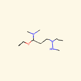 CCOC(CCN(CC)NC)N(C)C